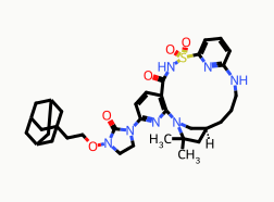 CC1(C)C[C@@H]2CCCNc3cccc(n3)S(=O)(=O)NC(=O)c3ccc(N4CCN(OCCC56CC7CC(CC(C7)C5)C6)C4=O)nc3N1C2